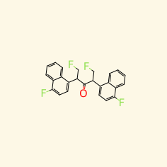 O=C(C(CF)c1ccc(F)c2ccccc12)C(CF)c1ccc(F)c2ccccc12